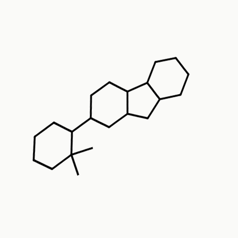 CC1(C)CCCCC1C1CCC2C(CC3CCCCC32)C1